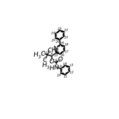 CC(C)(C)C(OC(=O)Nc1ccccc1)c1cccc(-c2ccccc2)n1